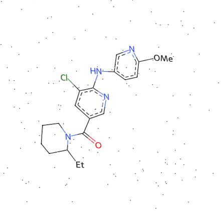 CCC1CCCCN1C(=O)c1cnc(Nc2ccc(OC)nc2)c(Cl)c1